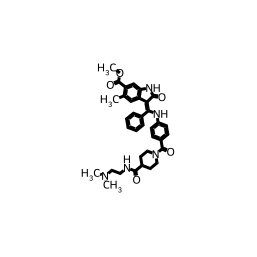 COC(=O)c1cc2c(cc1C)/C(=C(/Nc1ccc(C(=O)N3CCC(C(=O)NCCN(C)C)CC3)cc1)c1ccccc1)C(=O)N2